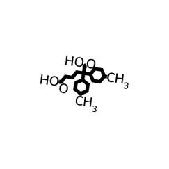 CC1CCC(C(CCCC(=O)O)(C(=O)O)C2CCC(C)CC2)CC1